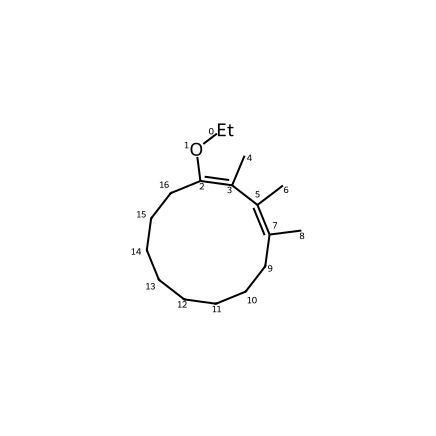 CCOC1=C(C)C(C)=C(C)CCCCCCCC1